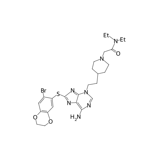 CCN(CC)C(=O)CN1CCC(CCn2cnc(N)c3nc(Sc4cc5c(cc4Br)OCCO5)nc2-3)CC1